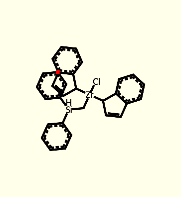 [Cl][Zr]([CH2][SiH](c1ccccc1)c1ccccc1)([CH]1C=Cc2ccccc21)[CH]1C=Cc2ccccc21